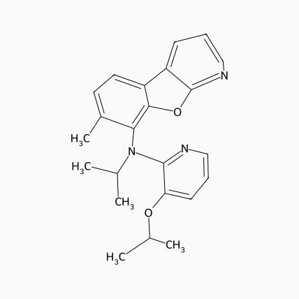 Cc1ccc2c(oc3ncccc32)c1N(c1ncccc1OC(C)C)C(C)C